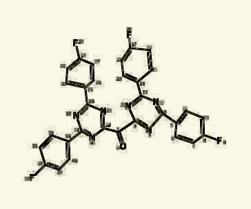 O=C(c1nc(-c2ccc(F)cc2)nc(-c2ccc(F)cc2)n1)c1nc(-c2ccc(F)cc2)nc(-c2ccc(F)cc2)n1